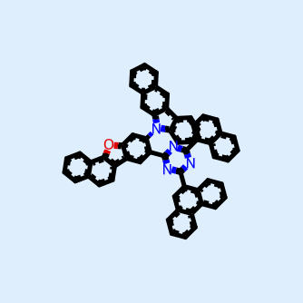 c1ccc2cc3c(cc2c1)c1ccccc1n3-c1cc2oc3c4ccccc4ccc3c2cc1-c1nc(-c2cccc3ccccc23)nc(-c2cc3ccccc3c3ccccc23)n1